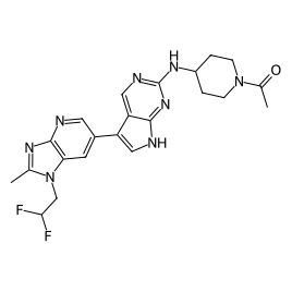 CC(=O)N1CCC(Nc2ncc3c(-c4cnc5nc(C)n(CC(F)F)c5c4)c[nH]c3n2)CC1